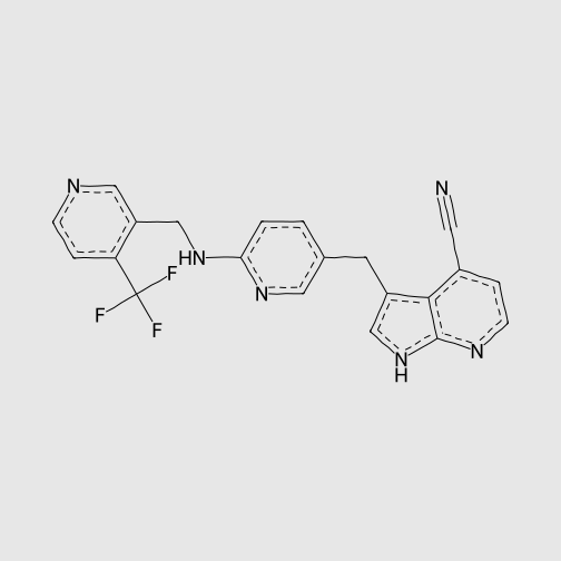 N#Cc1ccnc2[nH]cc(Cc3ccc(NCc4cnccc4C(F)(F)F)nc3)c12